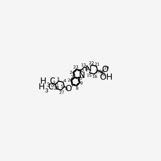 CC1(C)CCC(Oc2ccc3nc(CN4CCC(C(=O)O)CC4)ccc3c2)CC1